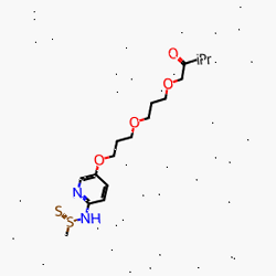 CC(C)C(=O)COCCCOCCCOc1ccc(NS(C)=S)nc1